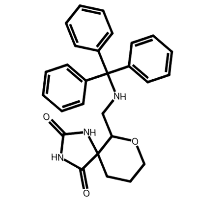 O=C1NC(=O)C2(CCCOC2CNC(c2ccccc2)(c2ccccc2)c2ccccc2)N1